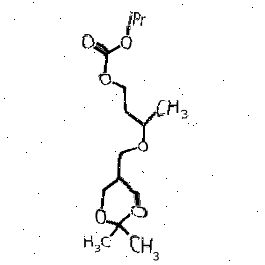 CC(C)OC(=O)OCCC(C)OCC1COC(C)(C)OC1